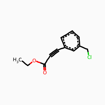 CCOC(=O)C#Cc1cccc(CCl)c1